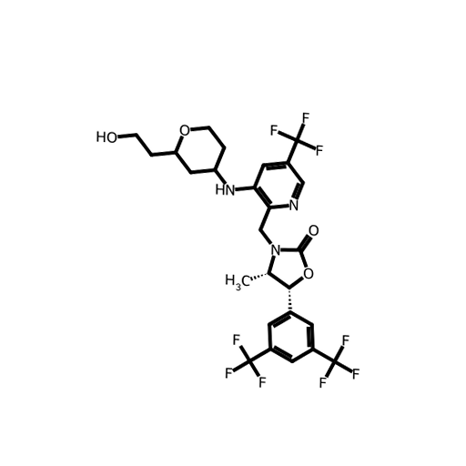 C[C@H]1[C@@H](c2cc(C(F)(F)F)cc(C(F)(F)F)c2)OC(=O)N1Cc1ncc(C(F)(F)F)cc1NC1CCOC(CCO)C1